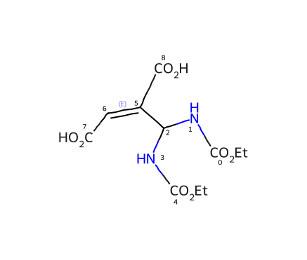 CCOC(=O)NC(NC(=O)OCC)/C(=C\C(=O)O)C(=O)O